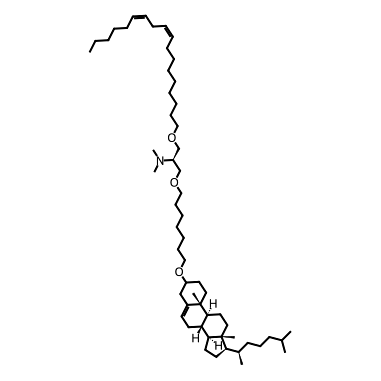 CCCCC/C=C\C/C=C\CCCCCCCCOC[C@@H](COCCCCCCCOC1CC[C@@]2(C)C(=CC[C@H]3[C@@H]4CC[C@H]([C@H](C)CCCC(C)C)[C@@]4(C)CC[C@@H]32)C1)N(C)C